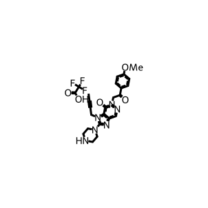 CC#CCn1c(N2CCNCC2)nc2cnn(CC(=O)c3ccc(OC)cc3)c(=O)c21.O=C(O)C(F)(F)F